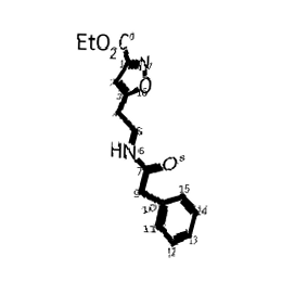 CCOC(=O)c1cc(CCNC(=O)Cc2ccccc2)on1